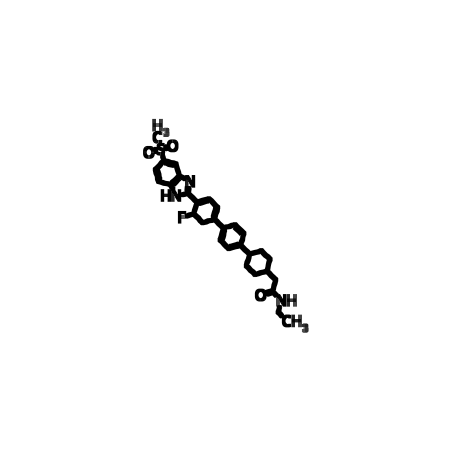 CCNC(=O)CC1CCC(c2ccc(C3=CC=C(c4nc5cc(S(C)(=O)=O)ccc5[nH]4)C(F)C3)cc2)CC1